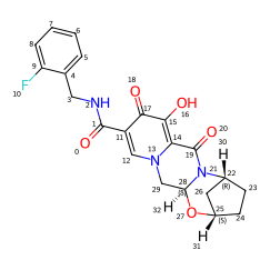 O=C(NCc1ccccc1F)c1cn2c(c(O)c1=O)C(=O)N1[C@@H]3CC[C@@H](C3)O[C@H]1C2